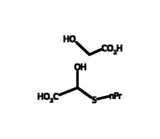 CCCSC(O)C(=O)O.O=C(O)CO